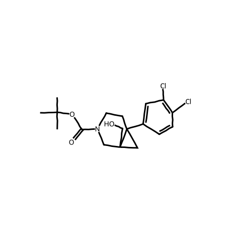 CC(C)(C)OC(=O)N1CCC2(c3ccc(Cl)c(Cl)c3)CC2(CO)C1